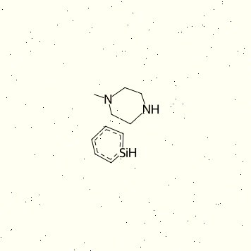 CN1CCNCC1.c1cc[siH]cc1